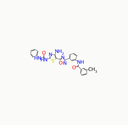 Cc1cccc(C(=O)Nc2cccc(-c3noc(-c4sc(NC(=O)Nc5ccccc5)nc4N)n3)c2)c1